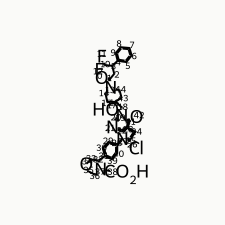 O=C(CC(c1ccccc1)C(F)F)N1CCC(O)(Cn2cnc3c(cc(Cl)n3-c3ccc(C4COCCN4C(=O)O)cc3)c2=O)CC1